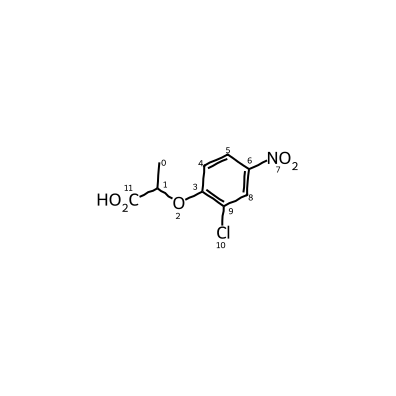 CC(Oc1ccc([N+](=O)[O-])cc1Cl)C(=O)O